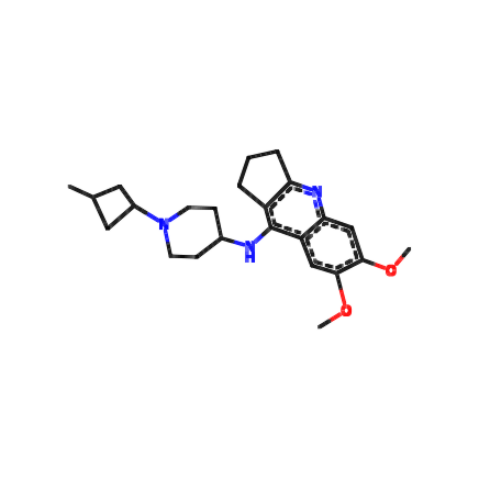 COc1cc2nc3c(c(NC4CCN(C5CC(C)C5)CC4)c2cc1OC)CCC3